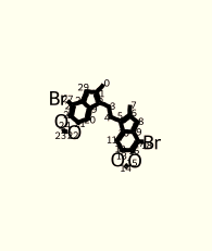 CC1=C(CCC2=C(C)C=C3C2=CC2OCOC2=C3Br)C2=CC3OCOC3=C(Br)C2=C1